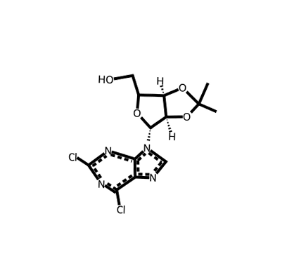 CC1(C)O[C@@H]2[C@H](O1)C(CO)O[C@H]2n1cnc2c(Cl)nc(Cl)nc21